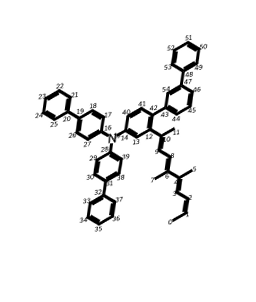 C\C=C/C=C(C)/C(C)=C/C=C(\C)c1cc(N(c2ccc(-c3ccccc3)cc2)c2ccc(-c3ccccc3)cc2)ccc1-c1cccc(-c2ccccc2)c1